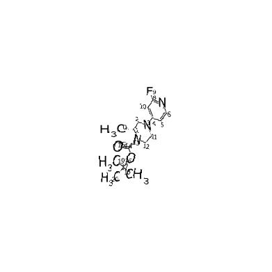 C[C@@H]1CN(c2ccnc(F)c2)CCN1C(=O)OC(C)(C)C